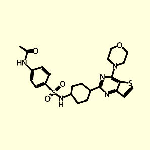 CC(=O)Nc1ccc(S(=O)(=O)NC2CCC(c3nc(N4CCOCC4)c4sccc4n3)CC2)cc1